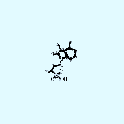 Cc1cccc2c1c(C)c(C)n2CCC(C)S(=O)(=O)O